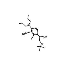 CCCN(CCC)c1ccc(C(O)CNC(C)(C)C)c(F)c1C#N